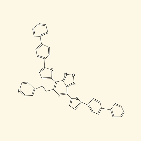 c1ccc(-c2ccc(-c3ccc(-c4nc(CCc5ccncc5)c(-c5ccc(-c6ccc(-c7ccccc7)cc6)s5)c5nonc45)s3)cc2)cc1